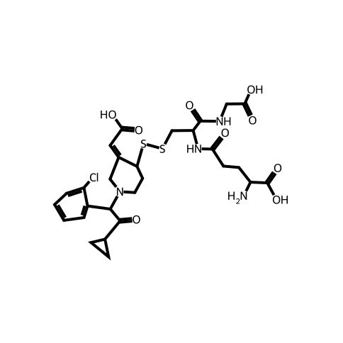 NC(CCC(=O)NC(CSSC1CCN(C(C(=O)C2CC2)c2ccccc2Cl)C/C1=C/C(=O)O)C(=O)NCC(=O)O)C(=O)O